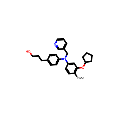 COc1ccc(N(Cc2cccnc2)c2ccc(CCCO)cc2)cc1OC1CCCC1